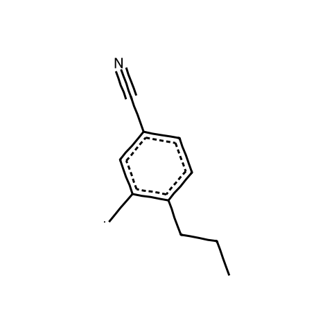 [CH2]c1cc(C#N)ccc1CCC